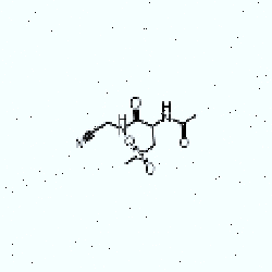 CC(=O)NC(CS(C)(=O)=O)C(=O)NCC#N